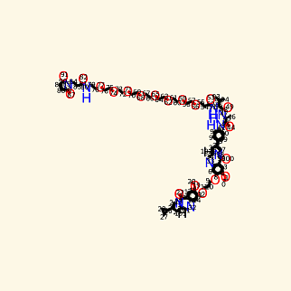 COc1cc2c(cc1OCCCOc1cc3c(cc1OC)C(=O)N1C=C(C4CC4)C[C@H]1C=N3)N=C[C@@H]1CC(c3ccc(NC(=O)[C@H](C)NC(=O)[C@H](NC(=O)CCOCCOCCOCCOCCOCCOCCOCCOCCNC(=O)CCN4C(=O)C=CC4=O)C(C)C)cc3)=CN1C2=O